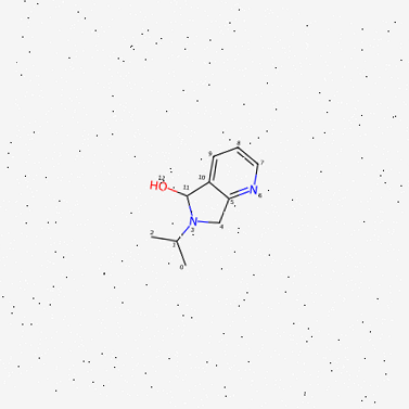 CC(C)N1Cc2ncccc2C1O